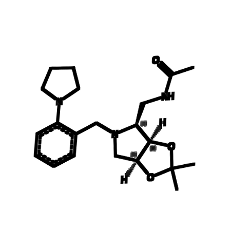 CC(=O)NC[C@H]1[C@H]2OC(C)(C)O[C@H]2CN1Cc1ccccc1N1CCCC1